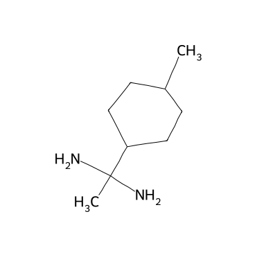 CC1CCC(C(C)(N)N)CC1